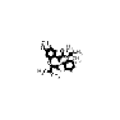 COc1ccc2c(c1)OC(C(C)C)C(=O)N(C1CCCCC1)C2C(=O)NC(C)(C)C